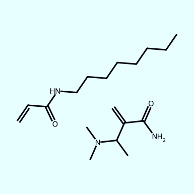 C=C(C(N)=O)C(C)N(C)C.C=CC(=O)NCCCCCCCC